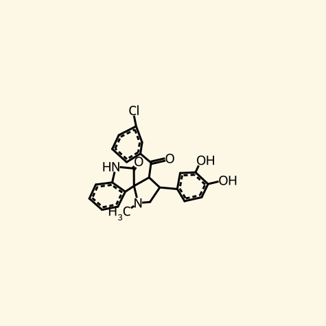 CN1CC(c2ccc(O)c(O)c2)C(C(=O)c2cccc(Cl)c2)C12C(=O)Nc1ccccc12